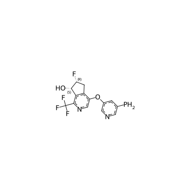 O[C@H]1c2c(C(F)(F)F)ncc(Oc3cncc(P)c3)c2C[C@H]1F